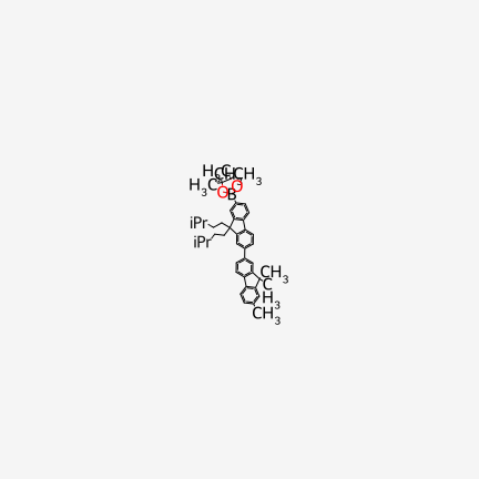 Cc1ccc2c(c1)C(C)(C)c1cc(-c3ccc4c(c3)C(CCC(C)C)(CCC(C)C)c3cc(B5OC(C)(C)C(C)(C)O5)ccc3-4)ccc1-2